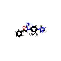 COc1cc(N2C=C(c3ccccc3)OC2N)ccc1-n1cncn1